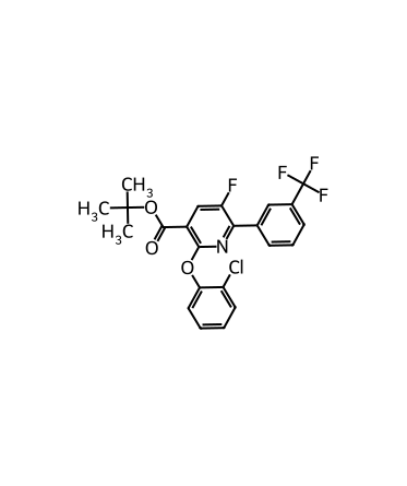 CC(C)(C)OC(=O)c1cc(F)c(-c2cccc(C(F)(F)F)c2)nc1Oc1ccccc1Cl